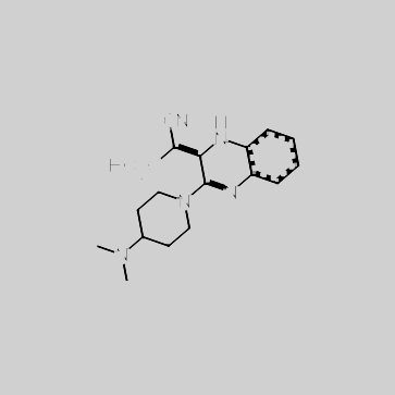 CN(C)C1CCN(C2=Nc3ccccc3NC2=C(C#N)C(=O)O)CC1